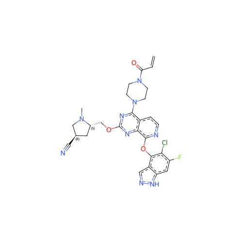 C=CC(=O)N1CCN(c2nc(OC[C@@H]3C[C@@H](C#N)CN3C)nc3c(Oc4c(Cl)c(F)cc5[nH]ncc45)nccc23)CC1